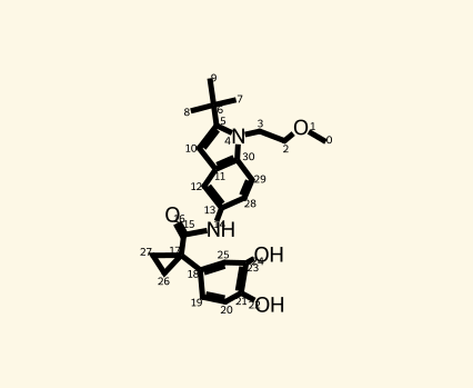 COCCn1c(C(C)(C)C)cc2cc(NC(=O)C3(c4ccc(O)c(O)c4)CC3)ccc21